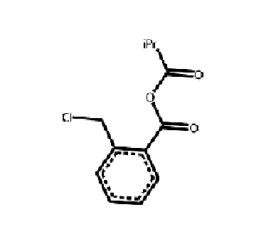 CC(C)C(=O)OC(=O)c1ccccc1CCl